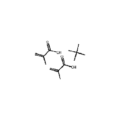 C=C(C)C(=O)O.C=C(C)C(=O)O.CC(C)(C)C